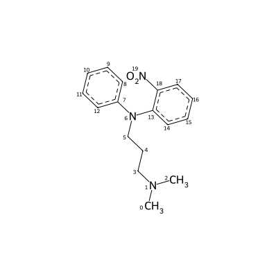 CN(C)CCCN(c1ccccc1)c1ccccc1[N+](=O)[O-]